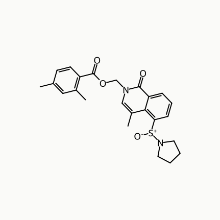 Cc1ccc(C(=O)OCn2cc(C)c3c([S+]([O-])N4CCCC4)cccc3c2=O)c(C)c1